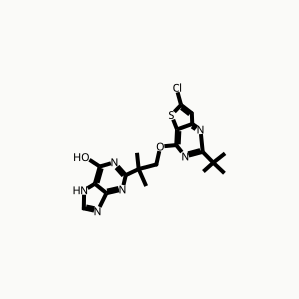 CC(C)(C)c1nc(OCC(C)(C)c2nc(O)c3[nH]cnc3n2)c2sc(Cl)cc2n1